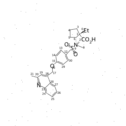 CC[C@]1(C(=O)O)CCC[C@H]1N(C)S(=O)(=O)c1ccc(OCc2cc(C)nc3ccccc23)cc1